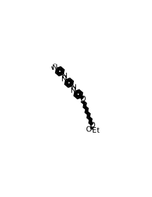 CCC(=O)OCCCCCCCCCOc1ccc(N=Nc2ccc(N=Nc3ccc(N(C)C)cc3)cc2)cc1